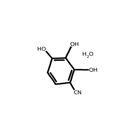 N#Cc1ccc(O)c(O)c1O.O